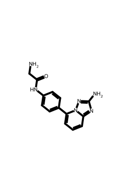 NCC(=O)Nc1ccc(-c2cccc3nc(N)nn23)cc1